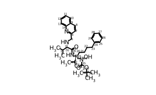 CC(C)[C@H](NCc1ccc2ccccc2n1)C(=O)N[N+](CCCCc1ccccc1)(C(C)C)N(O)C(=O)OC(C)(C)C